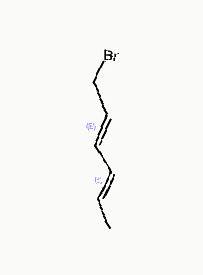 C/C=C/C=C/CBr